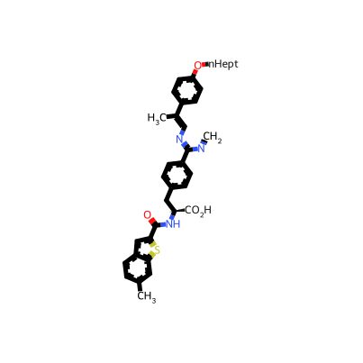 C=N/C(=N\C=C(/C)c1ccc(OCCCCCCC)cc1)c1ccc(C[C@H](NC(=O)c2cc3ccc(C)cc3s2)C(=O)O)cc1